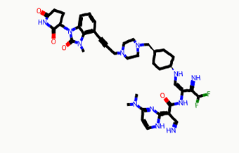 CN(C)C1=N/C(=C(/C=N)C(=O)N/C(=C/N[C@H]2CC[C@H](CN3CCN(CC#Cc4cccc5c4n(C)c(=O)n5C4CCC(=O)NC4=O)CC3)CC2)C(=N)C(F)F)NC=C1